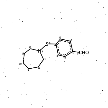 O=Cc1ccc(SN2CCCCCC2)cc1